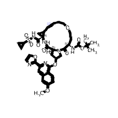 COc1ccc2c(OC3C[C@H]4C(=O)N[C@]5(C(=O)NS(=O)(=O)C6CC6)CC5/C=C\CCOCC[C@H](NC(=O)OC(C)(C)C)C(=O)N4C3)nc(-c3ncco3)cc2c1